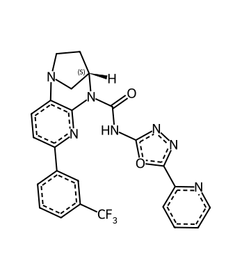 O=C(Nc1nnc(-c2ccccn2)o1)N1c2nc(-c3cccc(C(F)(F)F)c3)ccc2N2CC[C@H]1C2